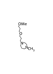 COCCCOCCCN1CCCN(C)CC1